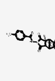 O=C(NN1C(=O)C2C3C=CC([C@H]2C1=O)[C@@H]1C[C@H]31)c1ccc(C(F)(F)F)cc1